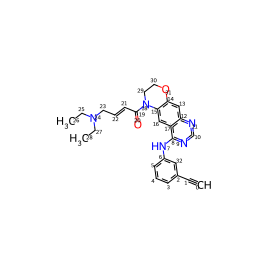 C#Cc1cccc(Nc2ncnc3cc4c(cc23)N(C(=O)/C=C/CN(CC)CC)CCO4)c1